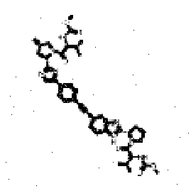 C=C1C[C@@H](c2nc(-c3ccc(C#Cc4ccc5[nH]c([C@@H]6CCCN6C(=O)[C@@H](NC(=O)OC)C(C)C)nc5c4)cc3)c[nH]2)N(C(=O)[C@@H](NC(=O)OC)C(C)C)C1